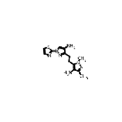 Cc1nn(C)c(CCc2nn(-c3nccs3)cc2N)c1N